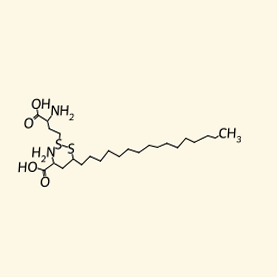 CCCCCCCCCCCCCCCCC(CC(N)C(=O)O)SSCCC(N)C(=O)O